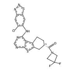 O=C([C@H]1CCc2c(sc3ncnc(Nc4cc5snnc5cc4Cl)c23)C1)N1CC(F)(F)C1